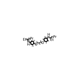 CCCC(CC)Nc1ccc(OCCCOc2ccc(NC(CC)CCC)cc2)cc1